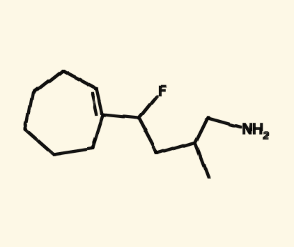 CC(CN)CC(F)C1=CCCCCC1